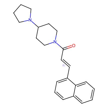 O=C(/C=C/c1cccc2ccccc12)N1CCC(N2CCCC2)CC1